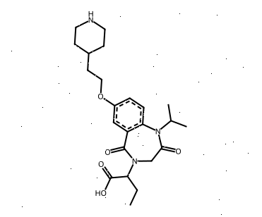 CCC(C(=O)O)N1CC(=O)N(C(C)C)c2ccc(OCCC3CCNCC3)cc2C1=O